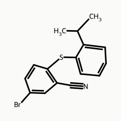 CC(C)c1ccccc1Sc1ccc(Br)cc1C#N